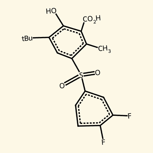 Cc1c(S(=O)(=O)c2ccc(F)c(F)c2)cc(C(C)(C)C)c(O)c1C(=O)O